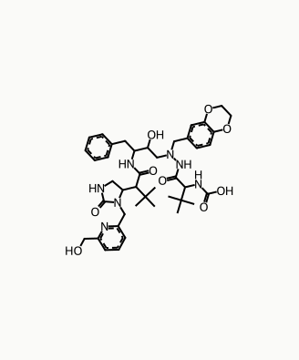 CC(C)(C)C(NC(=O)O)C(=O)NN(Cc1ccc2c(c1)OCCO2)CC(O)C(Cc1ccccc1)NC(=O)C(C1CNC(=O)N1Cc1cccc(CO)n1)C(C)(C)C